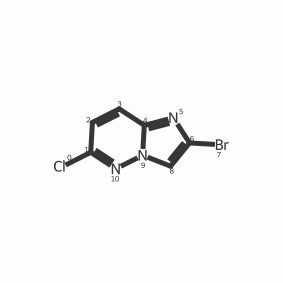 Clc1ccc2nc(Br)cn2n1